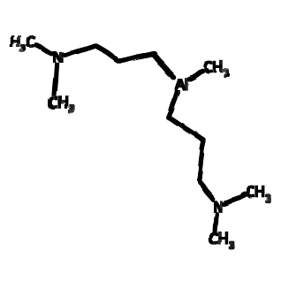 CN(C)CC[CH2][Al]([CH3])[CH2]CCN(C)C